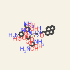 NCC1O[C@H](O[C@@H]2C(N)C[C@@H](N)C(O)[C@H]2OC2O[C@H](CSCCNC(=O)Cc3ccc4ccc5cccc6ccc3c4c56)[C@H](O[C@H]3O[C@@H](CN)[C@@H](O)C(O)C3N)[C@@H]2O)C(N)[C@@H](O)[C@@H]1O